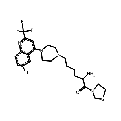 NC(CCCCN1CCN(c2cc(C(F)(F)F)nc3ccc(Cl)cc23)CC1)C(=O)N1CCSC1